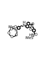 COc1cc(CCNc2ccc3c4c(cccc24)C(=O)N(Cc2ccc(C(=O)NCSC)cc2)C3=O)ccc1N1CCOCCOCCOCCOCC1